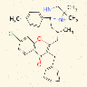 Cc1ccc(C2(CC(C)Cc3oc4cc(Cl)ccc4c(=O)c3Cc3ccccc3)NCC(C)(C)N2)cc1